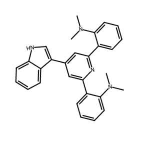 CN(C)c1ccccc1-c1cc(-c2c[nH]c3ccccc23)cc(-c2ccccc2N(C)C)n1